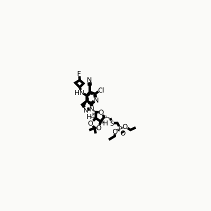 CCOP(=O)(CSC[C@H]1O[C@@H](n2ncc3c(NC4CC(F)C4)c(C#N)c(Cl)nc32)[C@@H]2OC(C)(C)O[C@@H]21)OCC